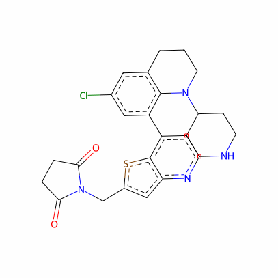 O=C1CCC(=O)N1Cc1cc2nccc(-c3cc(Cl)cc4c3N(C3CCNCC3)CCC4)c2s1